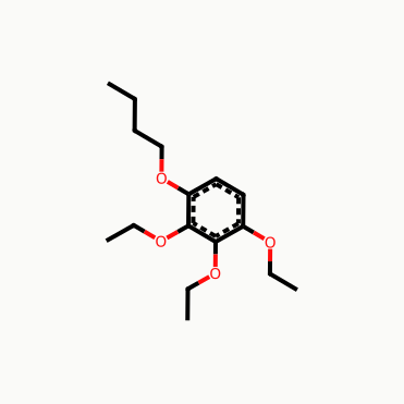 CCCCOc1ccc(OCC)c(OCC)c1OCC